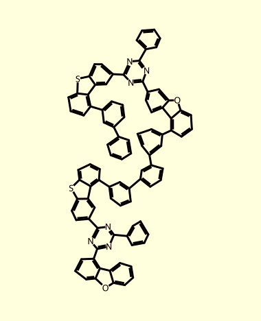 c1ccc(-c2cccc(-c3cccc4sc5ccc(-c6nc(-c7ccccc7)nc(-c7ccc8c(c7)oc7cccc(-c9cccc(-c%10cccc(-c%11cccc(-c%12cccc%13sc%14ccc(-c%15nc(-c%16ccccc%16)nc(-c%16cccc%17oc%18ccccc%18c%16%17)n%15)cc%14c%12%13)c%11)c%10)c9)c78)n6)cc5c34)c2)cc1